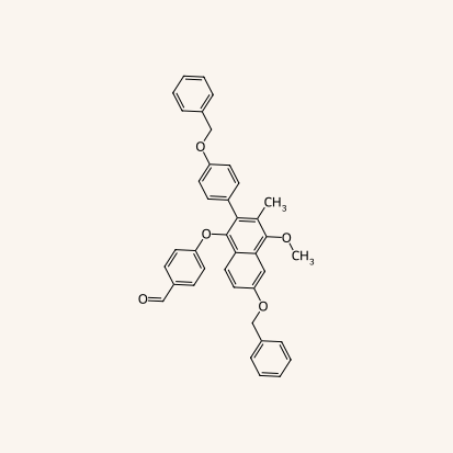 COc1c(C)c(-c2ccc(OCc3ccccc3)cc2)c(Oc2ccc(C=O)cc2)c2ccc(OCc3ccccc3)cc12